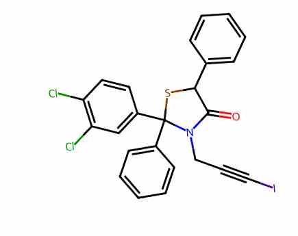 O=C1C(c2ccccc2)SC(c2ccccc2)(c2ccc(Cl)c(Cl)c2)N1CC#CI